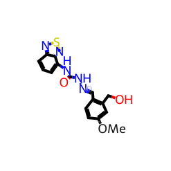 COc1ccc(/C=N/NC(=O)Nc2cccc3nsnc23)c(CO)c1